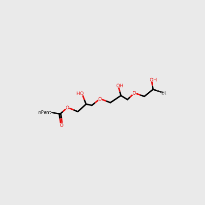 CCCCCC(=O)OCC(O)COCC(O)COCC(O)CC